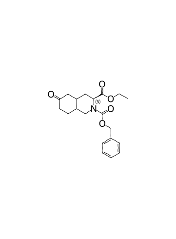 CCOC(=O)[C@@H]1CC2CC(=O)CCC2CN1C(=O)OCc1ccccc1